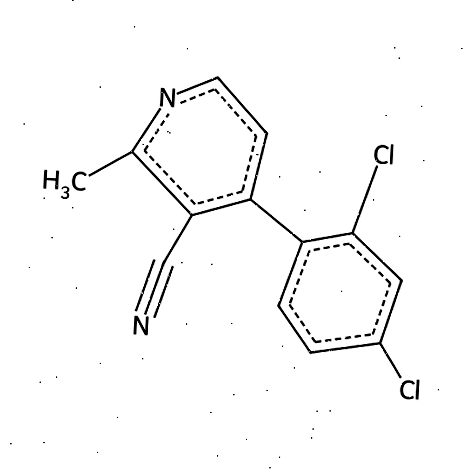 Cc1nccc(-c2ccc(Cl)cc2Cl)c1C#N